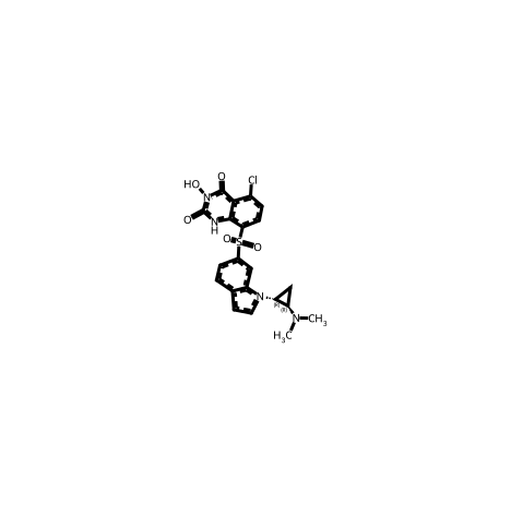 CN(C)[C@@H]1C[C@H]1n1ccc2ccc(S(=O)(=O)c3ccc(Cl)c4c(=O)n(O)c(=O)[nH]c34)cc21